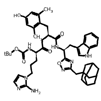 Cc1cc(O)cc(C)c1C[C@H](CC(=O)[C@@H](CCCn1ccnc1N)NC(=O)OC(C)(C)C)C(=O)N[C@@H](Cc1c[nH]c2ccccc12)c1nc(CC23CC4CC(CC(C4)C2)C3)no1